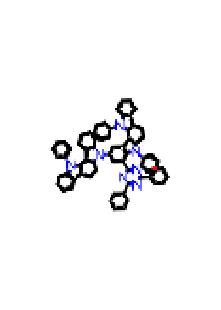 c1ccc(-c2nc(-c3ccccc3)nc(-c3cc(-n4c5ccccc5c5c4ccc4c6ccccc6n(-c6ccccc6)c45)cc4c5c(ccc6c7ccccc7n(-c7ccccc7)c65)n(-c5ccccc5)c34)n2)cc1